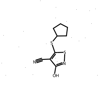 N#Cc1c(O)nsc1SC1CCCC1